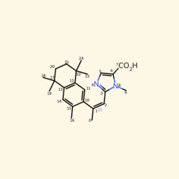 C/C(=C/c1ncc(C(=O)O)n1C)c1cc2c(cc1C)C(C)(C)CCC2(C)C